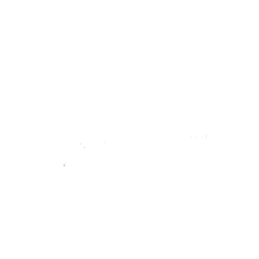 CCCCN1C(=O)/C(=C2/SC=C(CC(=O)O)S2)SC1=S